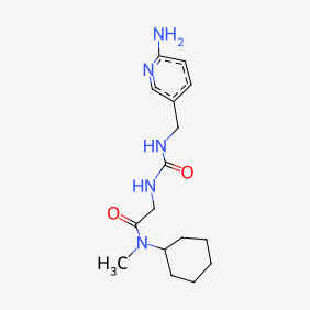 CN(C(=O)CNC(=O)NCc1ccc(N)nc1)C1CCCCC1